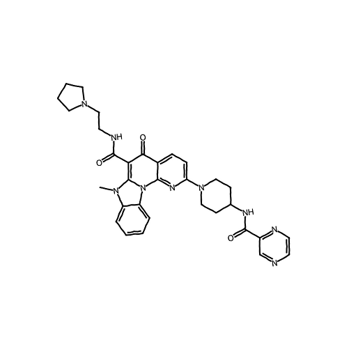 Cn1c2ccccc2n2c3nc(N4CCC(NC(=O)c5cnccn5)CC4)ccc3c(=O)c(C(=O)NCCN3CCCC3)c12